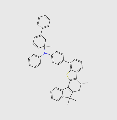 C[C@@H]1CC2=C(c3ccccc3C2(C)C)c2sc3c(-c4ccc(N(c5ccccc5)[C@@]5(C)C=CC=C(c6ccccc6)C5)cc4)cccc3c21